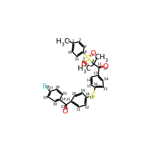 Cc1ccc(S(=O)(=O)C(C)(C)C(=O)c2ccc(Sc3ccc(C(=O)c4ccc(F)cc4)cc3)cc2)cc1